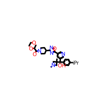 CC(C)c1ccc([C@](O)(c2cncc(-c3nc(C4CCN(C(=O)C5COCCO5)CC4)no3)c2)C2(C)CN(C)C2)cc1